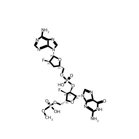 COP(=O)(O)OC[C@H]1O[C@@H](n2cnc3c(=O)[nH]c(N)nc32)[C@H](OP(=O)(O)OC[C@@H]2C[C@@H](F)[C@H](n3cnc4c(N)ncnc43)O2)[C@@H]1F